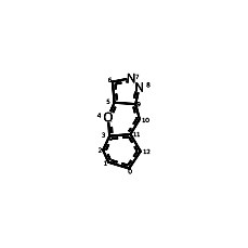 c1ccc2oc3cnnc-3cc2c1